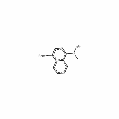 CCCB(C)c1ccc(C(C)CCC)c2ccccc12